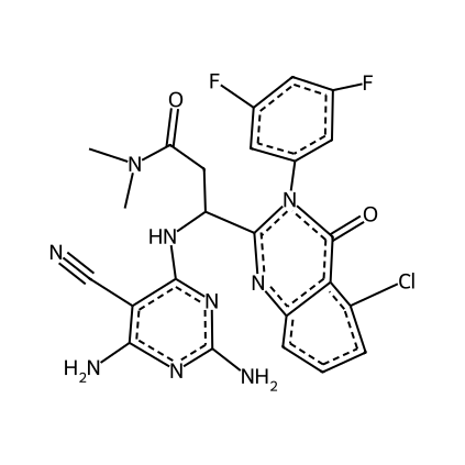 CN(C)C(=O)CC(Nc1nc(N)nc(N)c1C#N)c1nc2cccc(Cl)c2c(=O)n1-c1cc(F)cc(F)c1